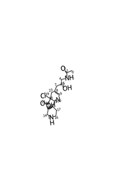 CC(=O)NC[C@H](O)CC1=CN=C(C2=CCNCC2)C(Cl)(C(=O)O)C1